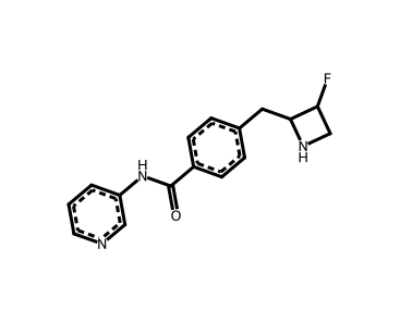 O=C(Nc1cccnc1)c1ccc(CC2NCC2F)cc1